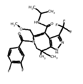 COCC1=C(C(=O)NC(C)C)c2c(C(F)(F)F)n[nH]c2C(C)(C)CN1C(=O)c1ccc(F)c(F)c1